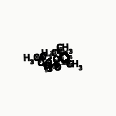 CC(=O)O[C@H]1CS[C@H](C(=O)O[C@@H]2C[C@H](C)CC[C@H]2C(C)C)O1